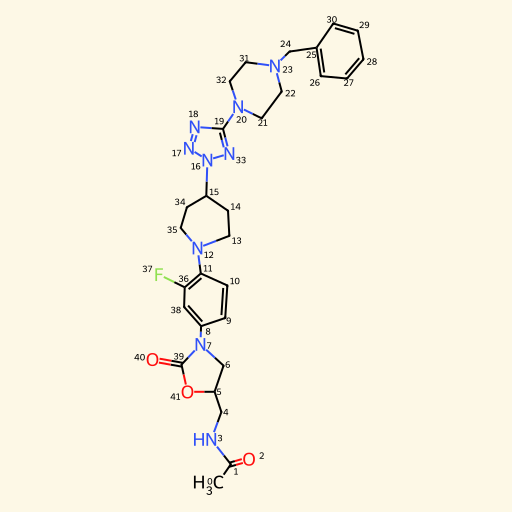 CC(=O)NCC1CN(c2ccc(N3CCC(n4nnc(N5CCN(Cc6ccccc6)CC5)n4)CC3)c(F)c2)C(=O)O1